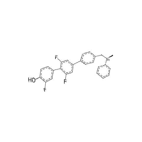 C[C@H](Cc1ccc(-c2cc(F)c(-c3ccc(O)c(F)c3)c(F)c2)cc1)c1ccccc1